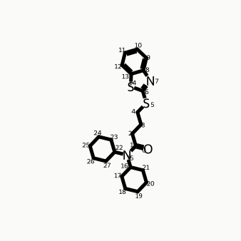 O=C(CCCSc1nc2ccccc2s1)N(C1CCCCC1)C1CCCCC1